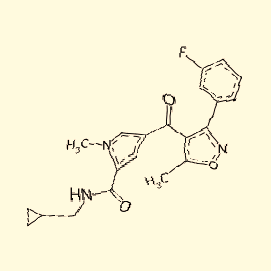 Cc1onc(-c2cccc(F)c2)c1C(=O)c1cc(C(=O)NCC2CC2)n(C)c1